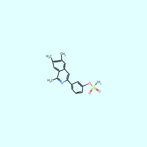 Cc1cc2cc(-c3cccc(OS(=O)(=O)C(F)(F)F)c3)nc(C)c2cc1C